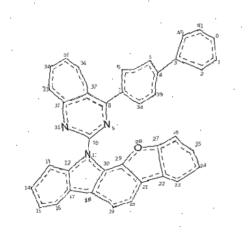 c1ccc(-c2ccc(-c3nc(-n4c5ccccc5c5ccc6c7ccccc7oc6c54)nc4ccccc34)cc2)cc1